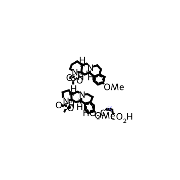 COc1ccc2c(c1)CCN1C[C@H]3CCCN(S(C)(=O)=O)[C@H]3C[C@@H]21.COc1ccc2c(c1)CCN1C[C@H]3CCCN(S(C)(=O)=O)[C@H]3C[C@@H]21.O=C(O)/C=C\C(=O)O